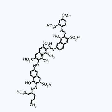 C=C/C=C\C(=C\S(=O)(=O)O)N=Nc1c(S(=O)(=O)O)cc2cc(N=Nc3c(S(=O)(=O)O)cc4cc(S(=O)(=O)O)c(N=Nc5ccc6cc(S(=O)(=O)O)c(N=Nc7ccc(OC)cc7S(=O)(=O)O)c(O)c6c5)c(N)c4c3O)ccc2c1O